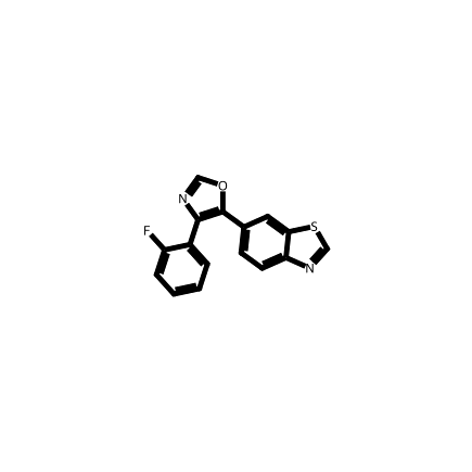 Fc1ccccc1-c1ncoc1-c1ccc2ncsc2c1